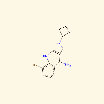 NC1C2=C(CN(C3CCC3)C2)Nc2c(Br)cccc21